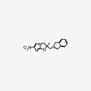 C[C@]1(CN2Cc3ccccc3C2)Cn2cc([N+](=O)[O-])nc2O1